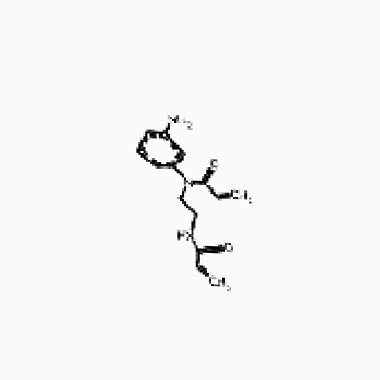 C=CC(=O)NCCN(C(=O)C=C)c1cccc(N)c1